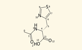 CC(=O)N[C@H](Cc1cscn1)C(=O)O